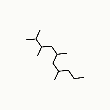 [CH2]C(C)C(C)CC(C)CC(C)CCC